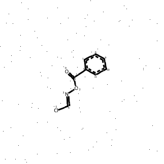 O=C(ON=CCl)c1ccccc1